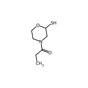 CCC(=O)N1CCOC(S)C1